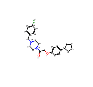 O=C(COc1ccc(C2CCCC2)cc1)N1CCN(Cc2ccc(Cl)cc2)CC1